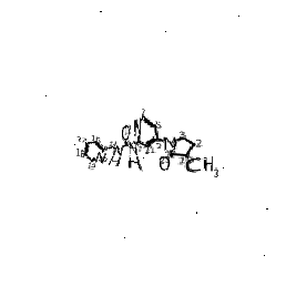 CC1CCN(c2ccnc(NC(=O)NCc3ccccn3)c2)C1=O